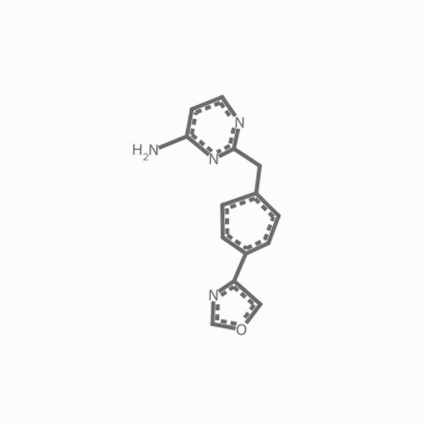 Nc1ccnc(Cc2ccc(-c3cocn3)cc2)n1